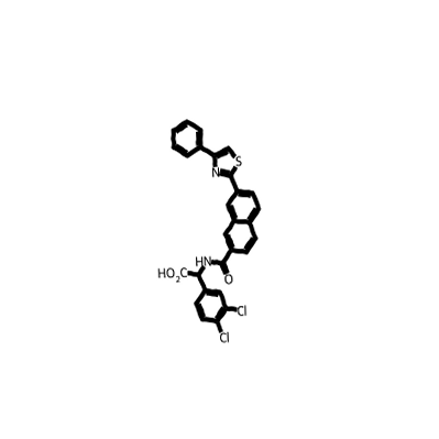 O=C(NC(C(=O)O)c1ccc(Cl)c(Cl)c1)c1ccc2ccc(-c3nc(-c4ccccc4)cs3)cc2c1